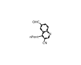 CCCCCc1c(C#N)cnc2ccc(C=O)cc12